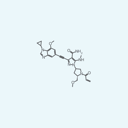 C=CC(=O)N1CC(n2nc(C#Cc3cc(OC)c4c(c3)ncn4C3CC3)c(C(N)=O)c2NC)C[C@@H]1COC